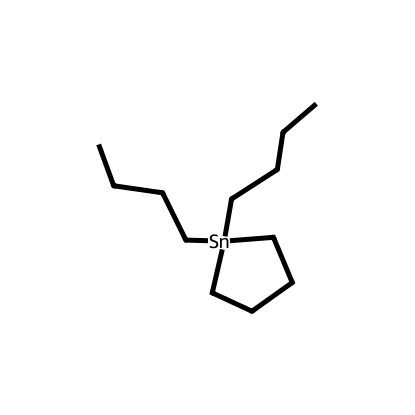 CCC[CH2][Sn]1([CH2]CCC)[CH2]CC[CH2]1